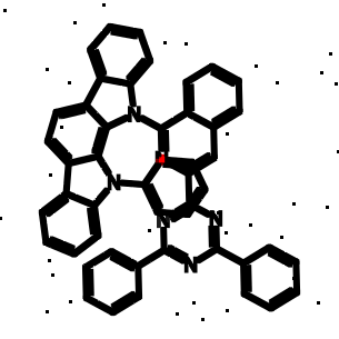 c1ccc(-c2nc(-c3ccccc3)nc(-c3cc4ccccc4c(-n4c5ccccc5c5ccc6c7ccccc7n(-c7ccccc7)c6c54)n3)n2)cc1